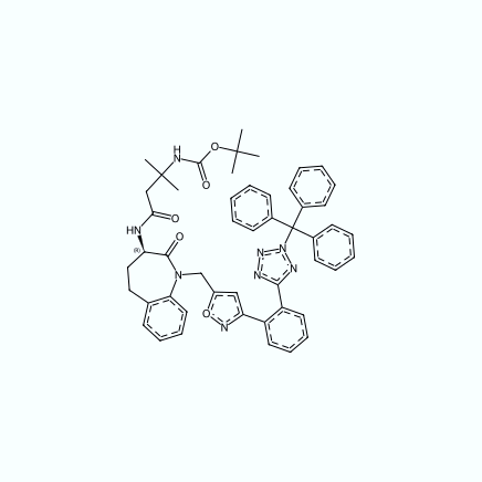 CC(C)(CC(=O)N[C@@H]1CCc2ccccc2N(Cc2cc(-c3ccccc3-c3nnn(C(c4ccccc4)(c4ccccc4)c4ccccc4)n3)no2)C1=O)NC(=O)OC(C)(C)C